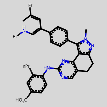 CCCc1cc(C(=O)O)ccc1Nc1ncc2c(n1)-c1c(nn(C)c1-c1ccc(C(/C=C(\C)CC)=C/NCC)cc1)CC2